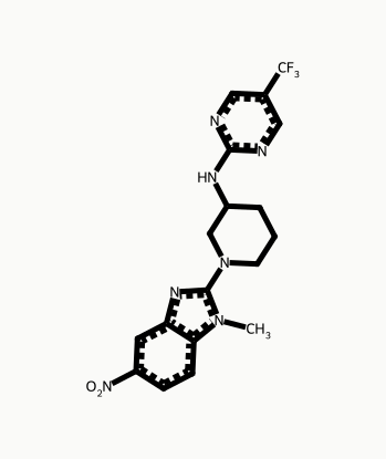 Cn1c(N2CCCC(Nc3ncc(C(F)(F)F)cn3)C2)nc2cc([N+](=O)[O-])ccc21